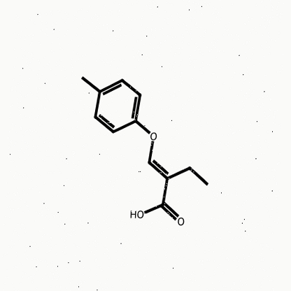 CC/C(=C\Oc1ccc(C)cc1)C(=O)O